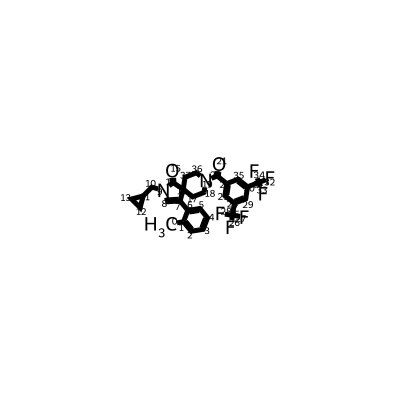 Cc1ccccc1C1=CN(CC2CC2)C(=O)C12CCN(C(=O)c1cc(C(F)(F)F)cc(C(F)(F)F)c1)CC2